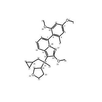 COc1cc(C)c(-c2cccc3c([N+](C)(CC4CC4)C4CCOC4)c(OC)nn23)c(OC)c1